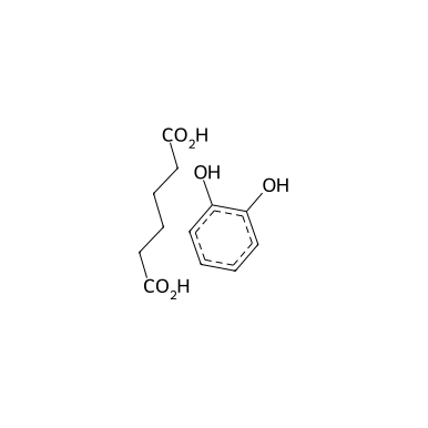 O=C(O)CCCCC(=O)O.Oc1ccccc1O